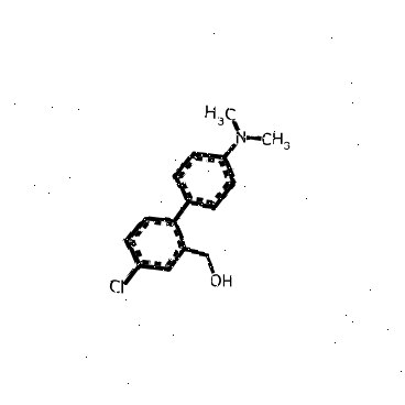 CN(C)c1ccc(-c2ccc(Cl)cc2CO)cc1